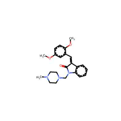 COc1ccc(OC)c(/C=C2\C(=O)N(CN3CCN(C)CC3)c3ccccc32)c1